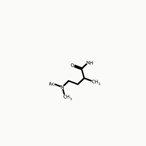 CC(=O)N(C)CCC(C)C([NH])=O